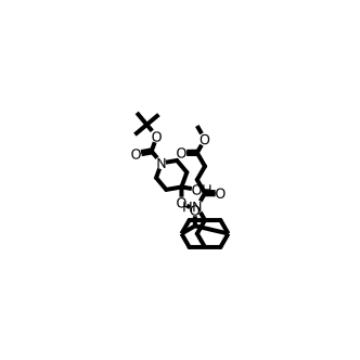 COC(=O)CCC(=O)NC12CC3CC(C1)C(OOC1(O)CCN(C(=O)OC(C)(C)C)CC1)C(C3)C2